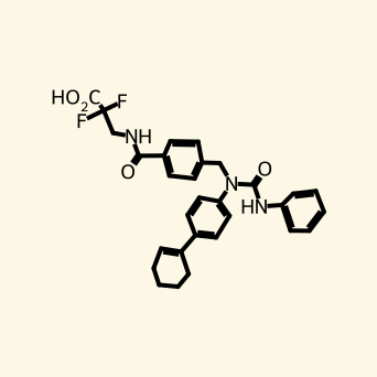 O=C(NCC(F)(F)C(=O)O)c1ccc(CN(C(=O)Nc2ccccc2)c2ccc(C3=CCCCC3)cc2)cc1